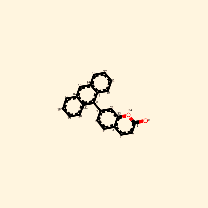 O=c1ccc2ccc(-c3c4ccccc4cc4ccccc34)cc2o1